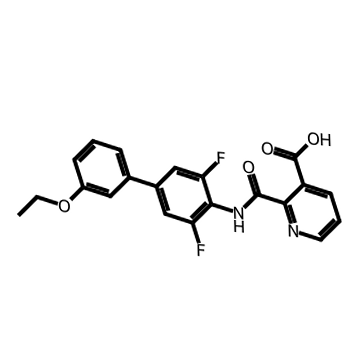 CCOc1cccc(-c2cc(F)c(NC(=O)c3ncccc3C(=O)O)c(F)c2)c1